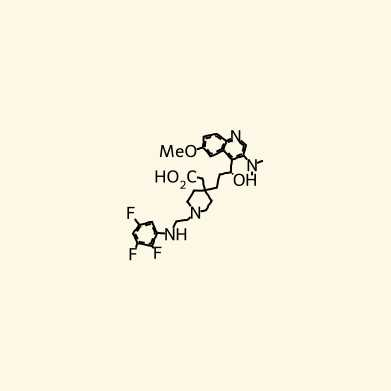 COc1ccc2ncc(N(C)C)c([C@H](O)CCC3(CC(=O)O)CCN(CCNc4cc(F)cc(F)c4F)CC3)c2c1